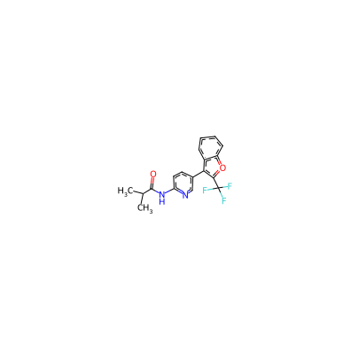 CC(C)C(=O)Nc1ccc(-c2c(C(F)(F)F)oc3ccccc23)cn1